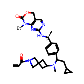 C=CC(=O)N1CC2(CC(N(C)C(CC3CC3)c3ccc([C@H](C)Nc4ncc5c(n4)N(CC)C(=O)OC5)cc3)C2)C1